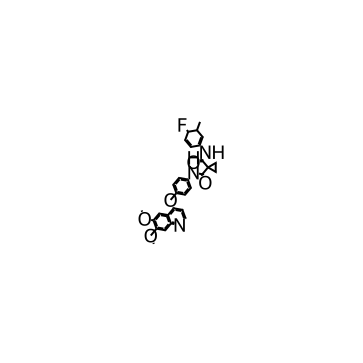 COc1cc2nccc(Oc3ccc(NC(=O)C4(C(=O)NC5=CC(C)C(F)C=C5)CC4)cc3)c2cc1OC